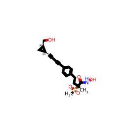 CC(CCc1ccc(C#CC#C[C@@H]2C[C@H]2CO)cc1)(C(=O)NO)S(C)(=O)=O